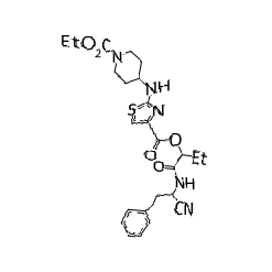 CCOC(=O)N1CCC(Nc2nc(C(=O)OC(CC)C(=O)NC(C#N)Cc3ccccc3)cs2)CC1